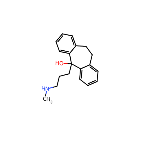 CNCCCC1(O)c2ccccc2CCc2ccccc21